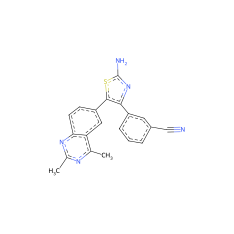 Cc1nc(C)c2cc(-c3sc(N)nc3-c3cccc(C#N)c3)ccc2n1